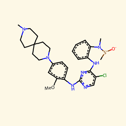 COc1cc(N2CCC3(CCN(C)CC3)CC2)ccc1Nc1ncc(Cl)c(Nc2ccccc2N(C)[S+](C)[O-])n1